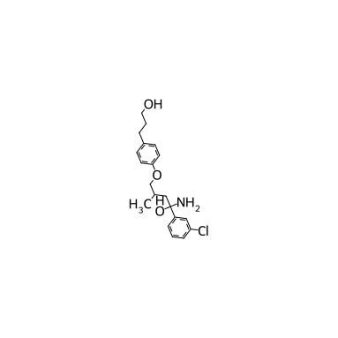 CC(COc1ccc(CCCO)cc1)CC(N)(O)c1cccc(Cl)c1